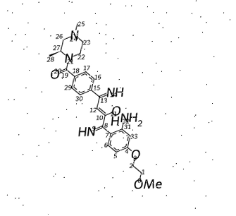 COCCOc1ccc(C(=N)/C(O)=C/C(=N)c2ccc(C(=O)N3CCN(C)C[C@@H]3C)cc2)c(N)c1